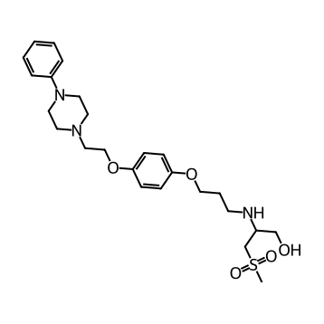 CS(=O)(=O)CC(CO)NCCCOc1ccc(OCCN2CCN(c3ccccc3)CC2)cc1